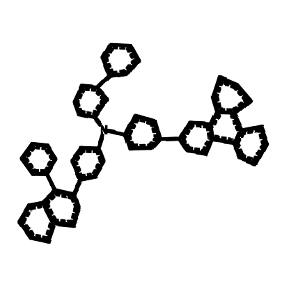 c1ccc(-c2cccc(N(c3ccc(-c4ccc5c6ccccc6c6ccccc6c5c4)cc3)c3ccc(-c4ccc5ccccc5c4-c4ccccc4)cc3)c2)cc1